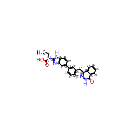 CCN(C(=O)O)c1nc2cc(-c3ccc(F)c(Cc4n[nH]c(=O)c5ccccc45)c3)ccc2[nH]1